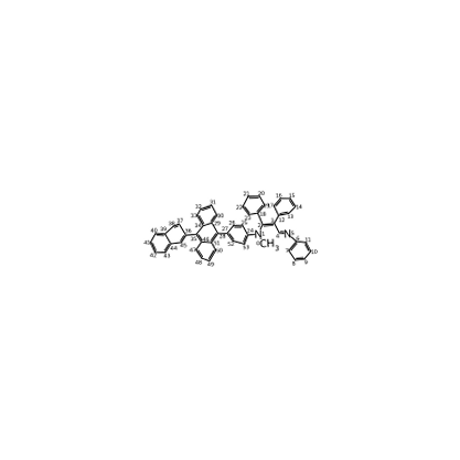 CN(/C(=C(\C=N\c1ccccc1)c1ccccc1)c1ccccc1)c1ccc(-c2c3ccccc3c(-c3ccc4ccccc4c3)c3ccccc23)cc1